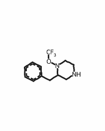 FC(F)(F)ON1CCNCC1Cc1ccccc1